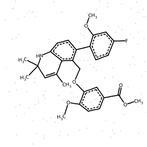 COC(=O)c1ccc(OC)c(OCc2c(-c3ccc(F)cc3OC)ccc3c2C(C)=CC(C)(C)N3)c1